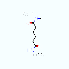 CONC(=O)CCCCC(=O)N(C)OC